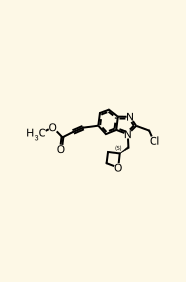 COC(=O)C#Cc1ccc2nc(CCl)n(C[C@@H]3CCO3)c2c1